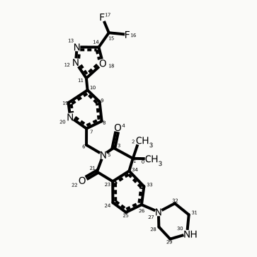 CC1(C)C(=O)N(Cc2ccc(-c3nnc(C(F)F)o3)cn2)C(=O)c2ccc(N3CCNCC3)cc21